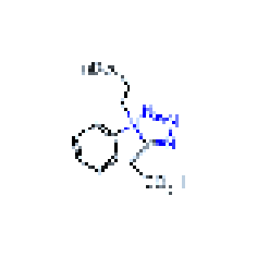 CCCCCCCCCCCC[N+]1(c2ccccc2)N=NN=C1CC(=O)O